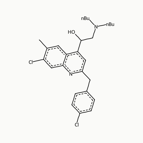 CCCCN(CCCC)CC(O)c1cc(Cc2ccc(Cl)cc2)nc2cc(Cl)c(C)cc12